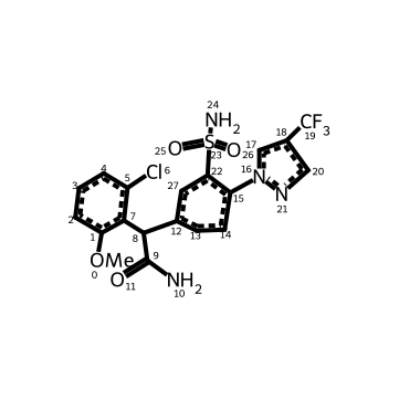 COc1cccc(Cl)c1C(C(N)=O)c1ccc(-n2cc(C(F)(F)F)cn2)c(S(N)(=O)=O)c1